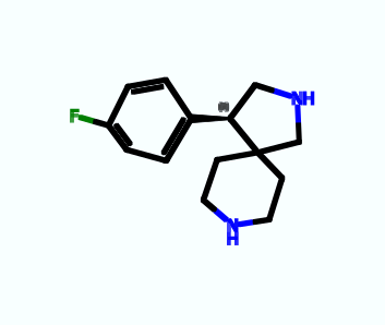 Fc1ccc([C@H]2CNCC23CCNCC3)cc1